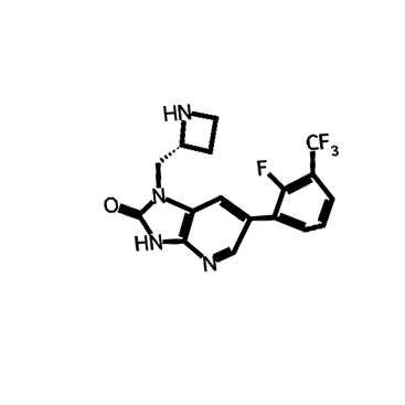 O=c1[nH]c2ncc(-c3cccc(C(F)(F)F)c3F)cc2n1C[C@H]1CCN1